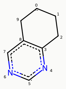 [C]1CCc2n[c]ncc2C1